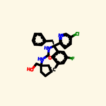 O=C(NC1(CO)CCCC1)N[C@](Cc1ccccc1)(c1cc(F)cc(C(F)(F)F)c1)c1ccc(Cl)cn1